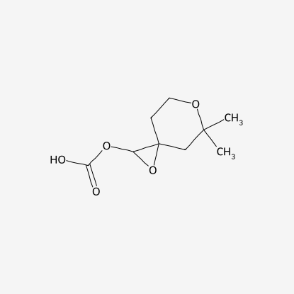 CC1(C)CC2(CCO1)OC2OC(=O)O